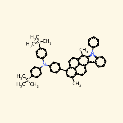 Cc1cc(-c2ccc(N(c3ccc([Si](C)(C)C)cc3)c3ccc([Si](C)(C)C)cc3)cc2)c2ccc3c(C)c4c(c5ccc1c2c35)c1ccccc1n4-c1ccccc1